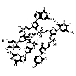 Cc1cn([C@H]2CC(OP(=O)(S)OC[C@H]3O[C@@H](n4cnc5c(=O)[nH]c(N)nc54)CC3OP(=S)(S)OC[C@H]3O[C@@H](n4cc(C)c(=O)[nH]c4=O)CC3OP(=O)(S)OC[C@H]3O[C@@H](n4ccc(N)nc4=O)CC3C(C)C)[C@@H](COP(=O)(S)OC3C[C@H](n4cnc5c(=O)[nH]c(N)nc54)O[C@@H]3COP(=O)(S)OC(C)C)O2)c(=O)[nH]c1=O